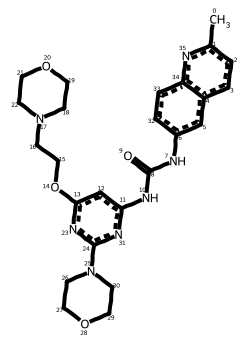 Cc1ccc2cc(NC(=O)Nc3cc(OCCN4CCOCC4)nc(N4CCOCC4)n3)ccc2n1